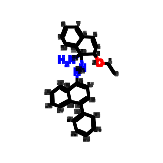 CCOC1C=Cc2ccccc2C1(N)N=Nc1ccc(-c2ccccc2)c2ccccc12